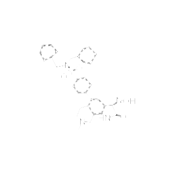 CN1CCc2c(-c3ccc(S(=O)(=O)N(Cc4ccccc4)Cc4ccccc4)cc3)cc3c(c2C1)NC(=O)/C3=N\O